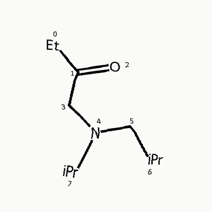 CCC(=O)CN(CC(C)C)C(C)C